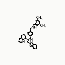 Cc1cc(C)nc(CNCc2ccc(CN(Cc3nc4ccccc4[nH]3)C3CCCc4cccnc43)cc2)c1